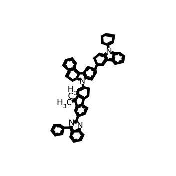 CC1(C)C2=C(CCC(N3c4ccc(C5C=c6c(n(C7=CC=CCC7)c7ccccc67)=CC5)cc4C4=c5ccccc5=CCC43)=C2)c2ccc(-c3nc(-c4ccccc4)c4ccccc4n3)cc21